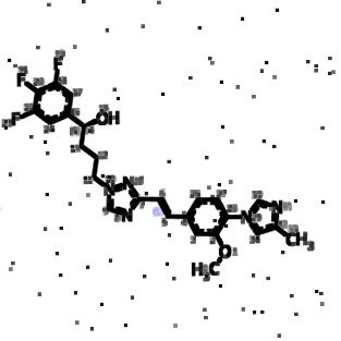 COc1cc(/C=C/c2ncn(CCC[C@H](O)c3cc(F)c(F)c(F)c3)n2)ccc1-n1cnc(C)c1